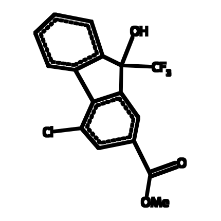 COC(=O)c1cc(Cl)c2c(c1)C(O)(C(F)(F)F)c1ccccc1-2